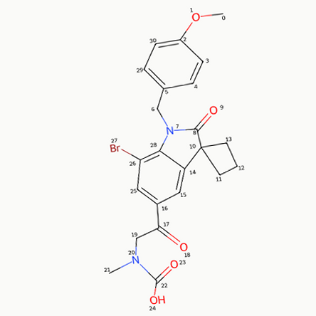 COc1ccc(CN2C(=O)C3(CCC3)c3cc(C(=O)CN(C)C(=O)O)cc(Br)c32)cc1